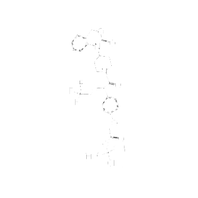 CC(C)(C)OC(=O)COc1ccc(C(OCC(F)(F)F)C(=O)N2CCC(N3C(=O)OCc4ccccc43)CC2)cc1